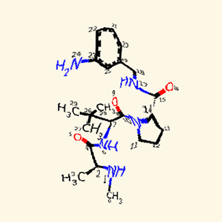 CN[C@@H](C)C(=O)N[C@H](C(=O)N1CCC[C@H]1C(=O)NCc1cccc(N)c1)C(C)(C)C